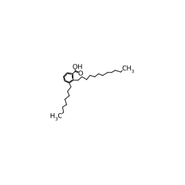 CCCCCCCCCCCCc1c(CCCCCCCC)cccc1C(=O)O